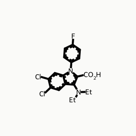 CCN(CC)c1c(C(=O)O)n(-c2ccc(F)cc2)c2cc(Cl)c(Cl)cc12